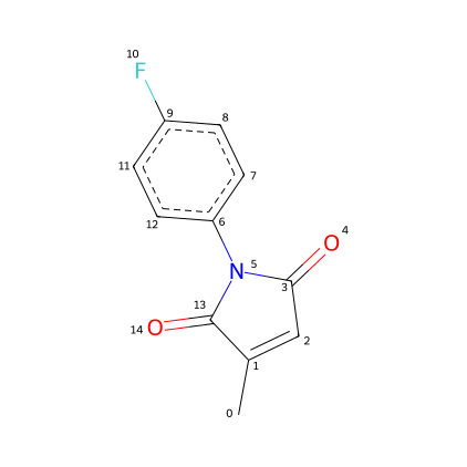 CC1=CC(=O)N(c2ccc(F)cc2)C1=O